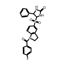 O=C1NC(c2ccccc2)C(S(=O)(=O)c2ccc3c(c2)CCN3C(=O)c2ccc(F)cc2)N1